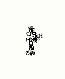 OCCCN1NCc2cc(Nc3ncc(F)c(Nc4ccc(OC(F)(F)F)c(Cl)c4)n3)ccc21